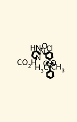 CC(C)(c1ccccc1)S(=O)(=O)c1ccc(Cl)c(-n2c(=O)[nH]c3ccc(C(=O)O)nc32)c1